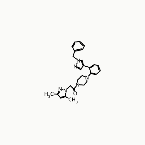 Cc1cc(C)n(CC(=O)N2CCN(c3ccccc3-c3cnn(Cc4ccccc4)c3)CC2)n1